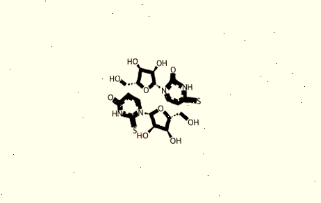 O=c1[nH]c(=S)ccn1[C@@H]1O[C@H](CO)[C@@H](O)[C@H]1O.O=c1ccn([C@@H]2O[C@H](CO)[C@@H](O)[C@H]2O)c(=S)[nH]1